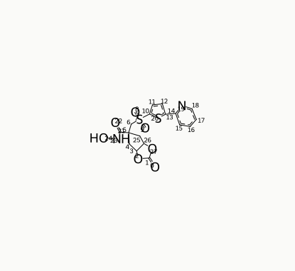 O=C1OC2CC(CS(=O)(=O)c3ccc(-c4ccccn4)s3)(C(=O)NO)CC2O1